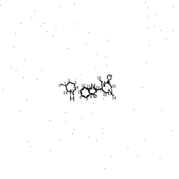 C[C@H]1CC[C@H](c2ccc3sc(C4CN(C)CC(=O)N4C)nc3c2)NC1